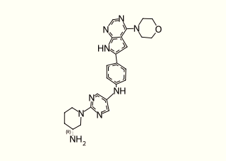 N[C@@H]1CCCN(c2ncc(Nc3ccc(-c4cc5c(N6CCOCC6)ncnc5[nH]4)cc3)cn2)C1